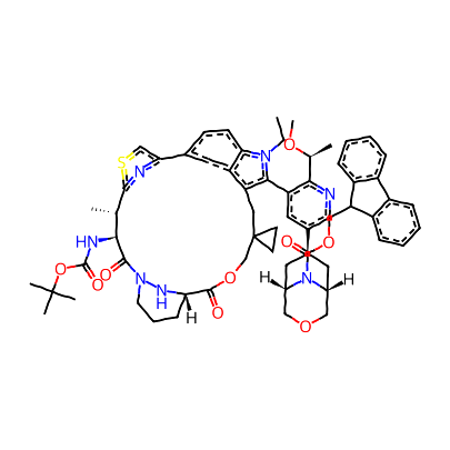 CCn1c(-c2cc([C@@H]3C[C@H]4COC[C@@H](C3)N4C(=O)OCC3c4ccccc4-c4ccccc43)cnc2[C@H](C)OC)c2c3cc(ccc31)-c1csc(n1)[C@@H](C)[C@H](NC(=O)OC(C)(C)C)C(=O)N1CCC[C@H](N1)C(=O)OCC1(CC1)C2